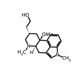 CO[C@]12C[C@@H](CCO)CN(C)[C@@H]1Cc1cn(C)c3cccc2c13